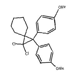 COc1ccc(C2(c3ccc(OC)cc3)C(Cl)(Cl)C23CCCCC3)cc1